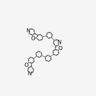 c1cc(-c2cccc(-c3ccc4oc5ncc(-c6cccc(-c7ccc8oc9cnccc9c8c7)c6)cc5c4c3)c2)cc(-c2ccc3oc4cnccc4c3c2)c1